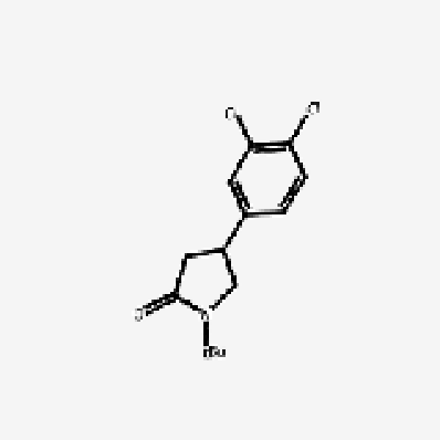 CC(C)(C)N1CC(c2ccc(Cl)c(Cl)c2)CC1=O